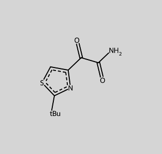 CC(C)(C)c1nc(C(=O)C(N)=O)cs1